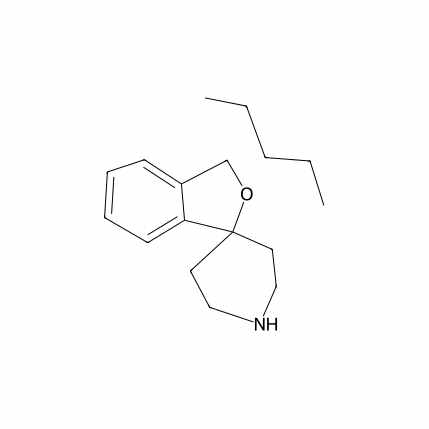 CCCCC.c1ccc2c(c1)COC21CCNCC1